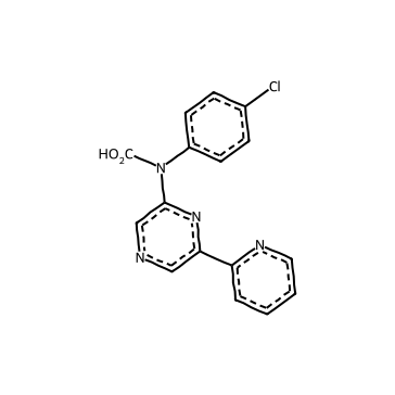 O=C(O)N(c1ccc(Cl)cc1)c1cncc(-c2ccccn2)n1